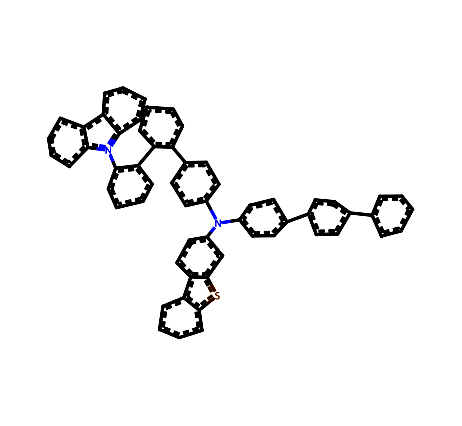 c1ccc(-c2ccc(-c3ccc(N(c4ccc(-c5ccccc5-c5ccccc5-n5c6ccccc6c6ccccc65)cc4)c4ccc5c(c4)sc4ccccc45)cc3)cc2)cc1